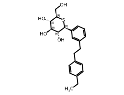 CCc1ccc(CCc2cccc([C@@H]3S[C@H](CO)[C@@H](O)[C@H](O)[C@H]3O)c2)cc1